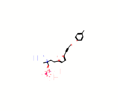 Cc1ccc(OCC#Cc2ccc(CCC(C)(N)COP(=O)(O)O)o2)cc1